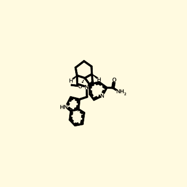 CO[C@@]1(c2ccnc(C(N)=O)c2)[C@@H]2CCC[C@H]1CN(Cc1c[nH]c3ccccc13)C2